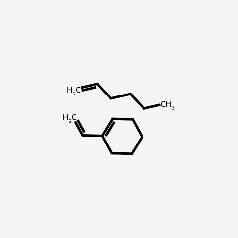 C=CC1=CCCCC1.C=CCCCC